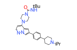 CC(C)N1CCC(c2ccc(-c3cc4c(N5CCN(C(=O)NC(C)(C)C)CC5)ccnn4c3)cc2)CC1